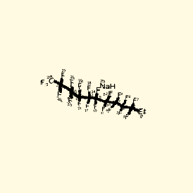 [CH2]CC(F)(F)C(F)(F)C(F)(F)C(F)(F)C(F)(F)C(F)(F)C(F)(F)C(F)(F)C(F)(F)C(F)(F)F.[NaH]